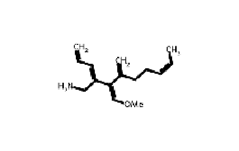 C=C/C=C(CN)/C(=C/OC)C(=C)CC/C=C\C